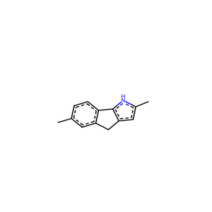 Cc1ccc2c(c1)Cc1cc(C)[nH]c1-2